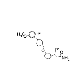 COc1ccc(F)c(C2CCC(COc3cccc([C@@H](CC(N)=O)C4CC4)c3)CC2)c1